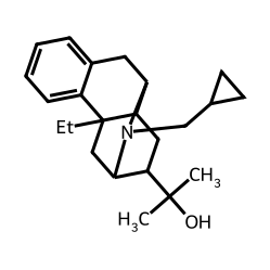 CCC12CC3C(C(C)(C)O)CC1C(Cc1ccccc12)N3CC1CC1